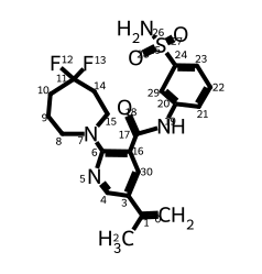 C=C(C)c1cnc(N2CCCC(F)(F)CC2)c(C(=O)Nc2cccc(S(N)(=O)=O)c2)c1